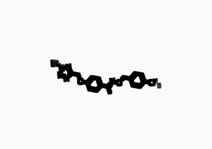 CCn1nnc(COc2ccc(C(C)=NOCc3ccc(C(F)(F)F)cc3)cc2)n1